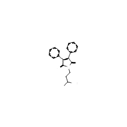 CC(O)CCN1C(=O)C(c2ccccc2)=C(c2ccccc2)C1=O